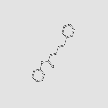 O=C(C=C/C=C/c1ccccc1)Oc1ccccc1